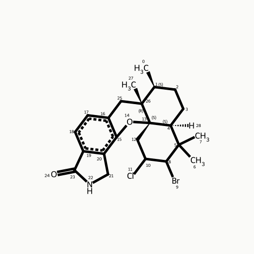 C[C@H]1CC[C@H]2C(C)(C)C(Br)C(Cl)C[C@]23Oc2c(ccc4c2CNC4=O)C[C@]13C